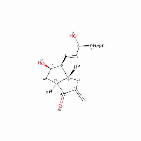 C=C1C[C@H]2[C@H](C=C[C@@H](O)CCCCCCC)[C@H](O)C[C@@H]2C1=O